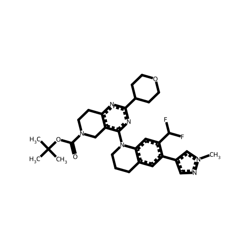 Cn1cc(-c2cc3c(cc2C(F)F)N(c2nc(C4CCOCC4)nc4c2CN(C(=O)OC(C)(C)C)CC4)CCC3)cn1